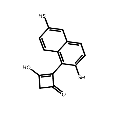 O=C1CC(O)=C1c1c(S)ccc2cc(S)ccc12